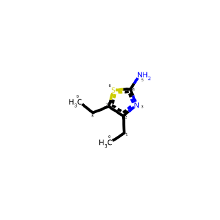 CCc1nc(N)sc1CC